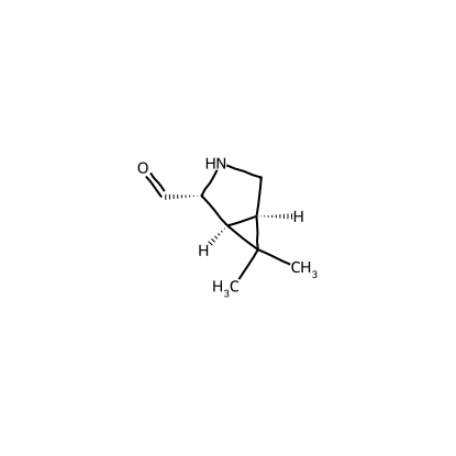 CC1(C)[C@H]2[C@H](C=O)NC[C@H]21